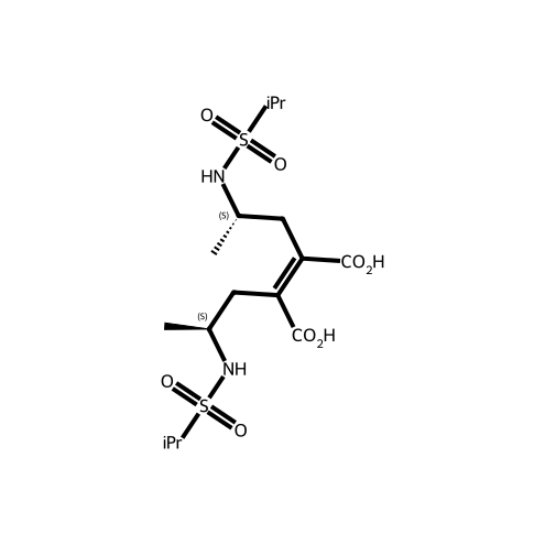 CC(C)S(=O)(=O)N[C@@H](C)CC(C(=O)O)=C(C[C@H](C)NS(=O)(=O)C(C)C)C(=O)O